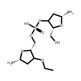 B[C@H]1CC(OCC)[C@@H](COP(=O)(O)OC2C[C@H](B)O[C@@H]2CO)O1